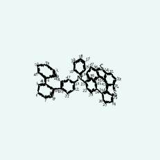 c1ccc(-c2ccccc2-c2ccc(N(c3ccccc3)c3ccc(-c4cccc5sc6ccc7sc8ccccc8c7c6c45)cc3)cc2)cc1